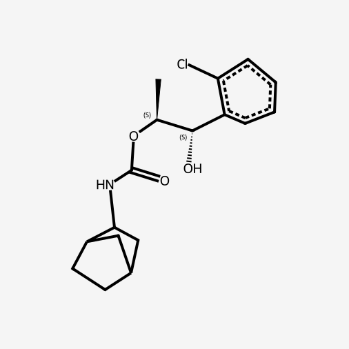 C[C@H](OC(=O)NC1CC2CCC1C2)[C@@H](O)c1ccccc1Cl